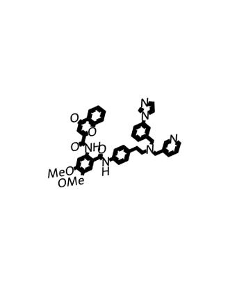 COc1cc(NC(=O)c2cc(=O)c3ccccc3o2)c(C(=O)Nc2ccc(CCN(Cc3cccnc3)Cc3cccc(-n4ccnc4)c3)cc2)cc1OC